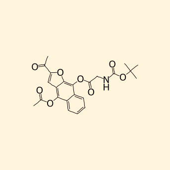 CC(=O)Oc1c2ccccc2c(OC(=O)CNC(=O)OC(C)(C)C)c2oc(C(C)=O)cc12